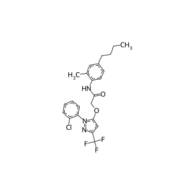 CCCCc1ccc(NC(=O)COc2cc(C(F)(F)F)nn2-c2ccccc2Cl)c(C)c1